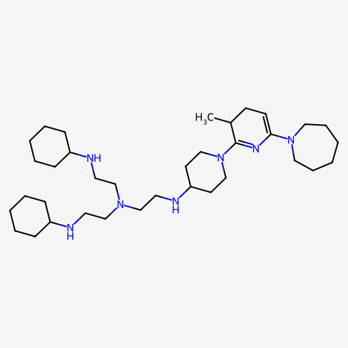 CC1CC=C(N2CCCCCC2)N=C1N1CCC(NCCN(CCNC2CCCCC2)CCNC2CCCCC2)CC1